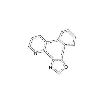 c1ccc2c(c1)c1cccnc1c1ncoc21